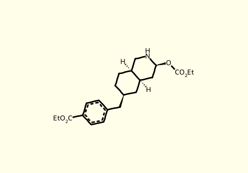 CCOC(=O)O[C@H]1C[C@H]2C[C@@H](Cc3ccc(C(=O)OCC)cc3)CC[C@H]2CN1